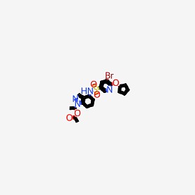 CC(=O)OC(C)n1ncc2c1CCCC2NS(=O)(=O)c1cnc(OC2CCCC2)c(Br)c1